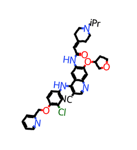 CC(C)N1CCC(=CC(=O)Nc2cc3c(Nc4ccc(OCc5ccccn5)c(Cl)c4)c(C#N)cnc3cc2OC2CCOC2)CC1